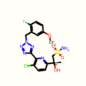 C[C@](O)(CS(N)(=O)=O)c1ccc(Cl)c(-c2nnn(Cc3cc(OC(F)(F)F)ccc3F)n2)n1